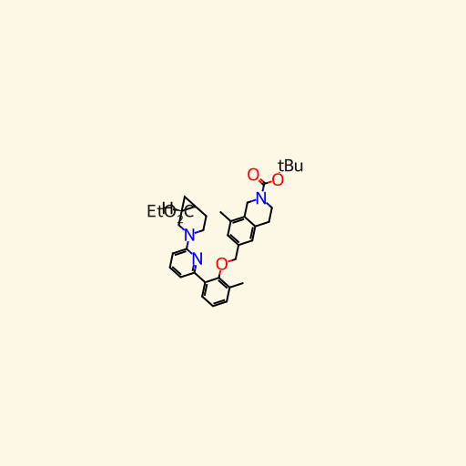 CCOC(=O)[C@@]12CCN(c3cccc(-c4cccc(C)c4OCc4cc(C)c5c(c4)CCN(C(=O)OC(C)(C)C)C5)n3)C[C@@H]1C2